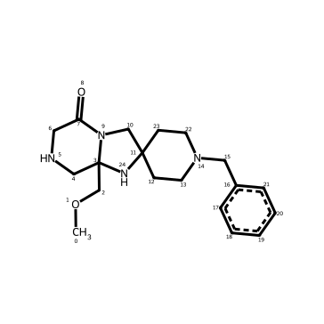 COCC12CNCC(=O)N1CC1(CCN(Cc3ccccc3)CC1)N2